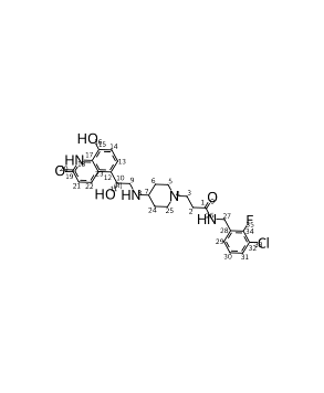 O=C(CCN1CCC(NC[C@H](O)c2ccc(O)c3[nH]c(=O)ccc23)CC1)NCc1cccc(Cl)c1F